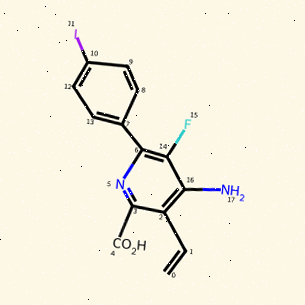 C=Cc1c(C(=O)O)nc(-c2ccc(I)cc2)c(F)c1N